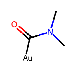 CN(C)[C](=O)[Au]